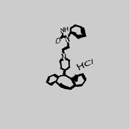 Cl.NC(=O)N(CCN1CCC(=C2c3ccccc3C=Cc3ccccc32)CC1)c1ccccc1